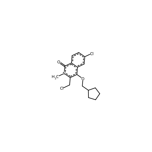 Cn1c(CCl)c(OCC2CCCC2)c2cc(Cl)ccc2c1=O